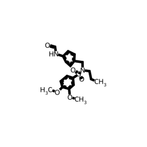 CCCN(Cc1ccc(NC=O)cc1)S(=O)(=O)c1ccc(OC)c(OC)c1